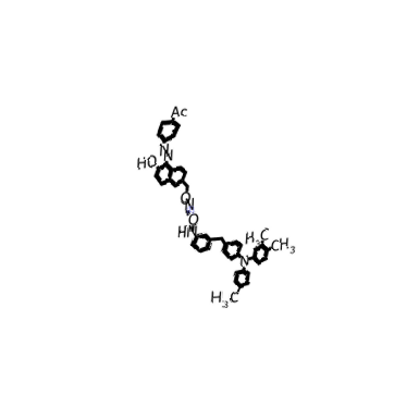 CC(=O)c1ccc(N=Nc2c(O)ccc3cc(CO/N=C/ONc4cccc(Cc5ccc(N(c6ccc(C)cc6)c6ccc(C)c(C)c6)cc5)c4)ccc23)cc1